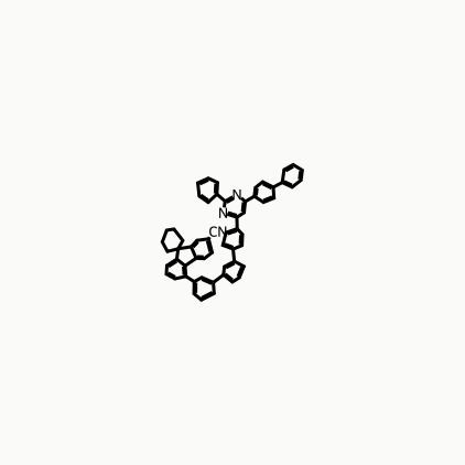 N#Cc1ccc2c(c1)C1(CCCCC1)c1cccc(-c3cccc(-c4cccc(-c5ccc(-c6cc(-c7ccc(-c8ccccc8)cc7)nc(-c7ccccc7)n6)cc5)c4)c3)c1-2